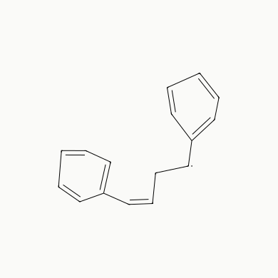 [CH](C/C=C\c1ccccc1)c1ccccc1